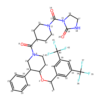 CC(OC1CCN(C(=O)C2CCN(C(=O)N3CCNC3=O)CC2)CC1c1ccccc1)c1cc(C(F)(F)F)cc(C(F)(F)F)c1